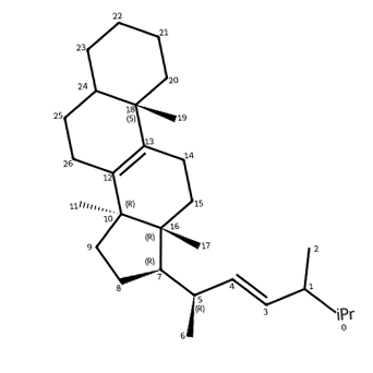 CC(C)C(C)C=C[C@@H](C)[C@H]1CC[C@@]2(C)C3=C(CC[C@]12C)[C@@]1(C)CCCCC1CC3